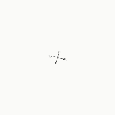 [SiH3][Si]([SiH3])(Cl)Cl